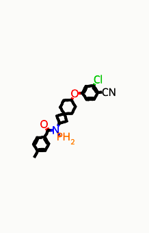 Cc1ccc(C(=O)N(P)C2CC3(CCC(Oc4ccc(C#N)c(Cl)c4)CC3)C2)cc1